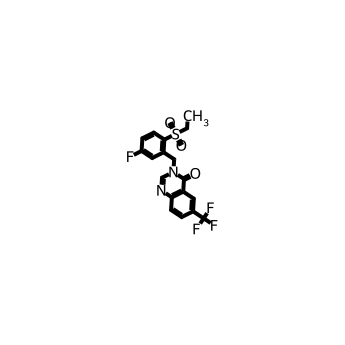 CCS(=O)(=O)c1ccc(F)cc1Cn1cnc2ccc(C(F)(F)F)cc2c1=O